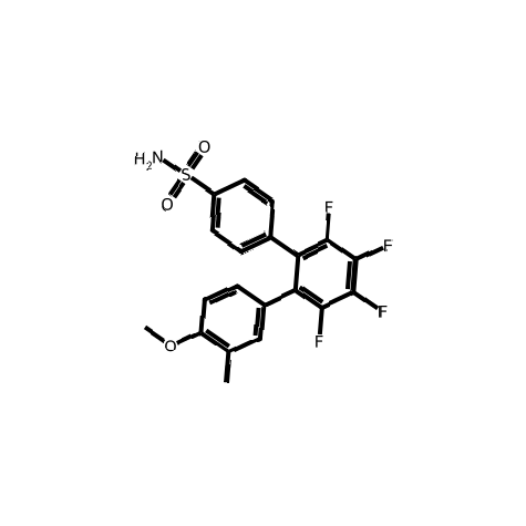 COc1ccc(-c2c(F)c(F)c(F)c(F)c2-c2ccc(S(N)(=O)=O)cc2)cc1C